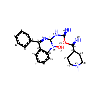 N=C(NC1N=C(c2ccccc2)c2ccccc2N1O)OC(=N)C1CCNCC1